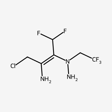 N/C(CCl)=C(/C(F)F)N(N)CC(F)(F)F